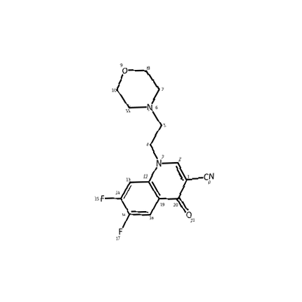 N#Cc1cn(CCN2CCOCC2)c2cc(F)c(F)cc2c1=O